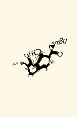 CCCCOC(=O)C1[N]C=C2C=CC(I)C(=O)C2=C1O